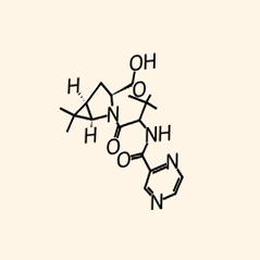 CC(C)(C)C(NC(=O)c1cnccn1)C(=O)N1[C@H](C(=O)O)C[C@H]2[C@@H]1C2(C)C